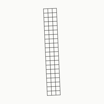 C1C2C3CC4C5C6C7C8C9C%10C%11C%12C%13C%14C%15C%16C%17C%18C%19C%20C%21C%22CC%23C%24CC%25C%26C%27C%28C%29C%30C%31C%32C%33C%34C%35C%36C%37C%38C%39C%40C%41C%42C1C21C34C52C%421C%411C62C72C%401C%391C82C92C%381C%371C%102C%112C%361C%351C%122C%132C%143C%154C%165C%176C%187C%198C%209C%21%10C%23%22C%24%25C%26%10C%279C%288C%297C%306C%315C%324C%333C%3412